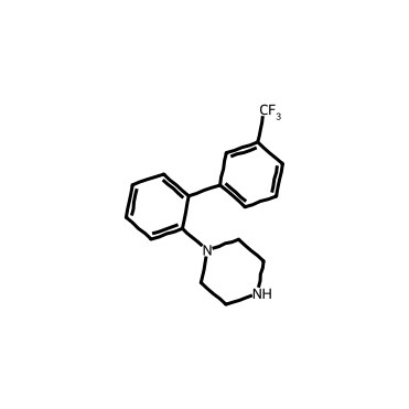 FC(F)(F)c1cccc(-c2ccccc2N2CCNCC2)c1